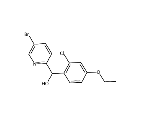 CCOc1ccc(C(O)c2ccc(Br)cn2)c(Cl)c1